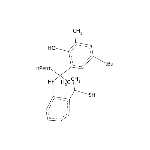 CCCCCC(C)(Pc1ccccc1C(C)S)c1cc(C(C)(C)C)cc(C)c1O